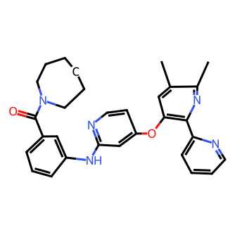 Cc1cc(Oc2ccnc(Nc3cccc(C(=O)N4CCCCCC4)c3)c2)c(-c2ccccn2)nc1C